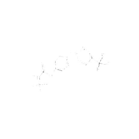 CN(C(=O)Oc1ccc(Oc2ccc(C(F)(F)F)cn2)cc1)C(C)(C)C